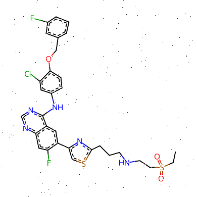 CCS(=O)(=O)CCNCCCc1nc(-c2cc3c(Nc4ccc(OCc5cccc(F)c5)c(Cl)c4)ncnc3cc2F)cs1